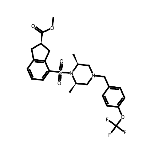 COC(=O)[C@@H]1Cc2cccc(S(=O)(=O)N3[C@H](C)CN(Cc4ccc(OC(F)(F)F)cc4)C[C@@H]3C)c2C1